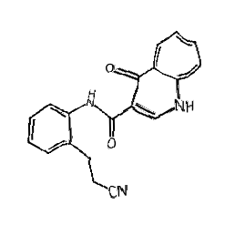 N#CCCc1ccccc1NC(=O)c1c[nH]c2ccccc2c1=O